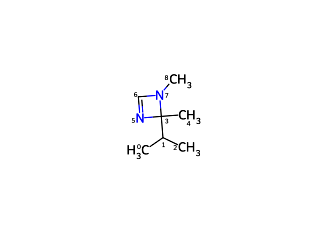 CC(C)C1(C)N=CN1C